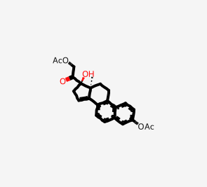 CC(=O)OCC(=O)[C@@]1(O)CC=C2c3ccc4cc(OC(C)=O)ccc4c3CC[C@@]21C